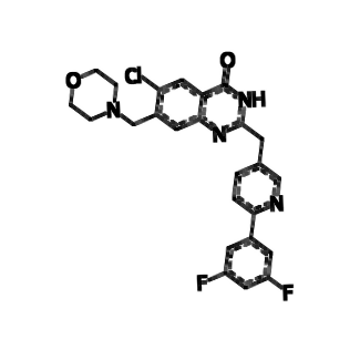 O=c1[nH]c(Cc2ccc(-c3cc(F)cc(F)c3)nc2)nc2cc(CN3CCOCC3)c(Cl)cc12